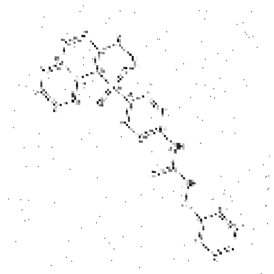 O=C(NCc1cccnc1)Nc1ccc(S(=O)(=O)c2c(OCl)ccc3ccccc23)cc1